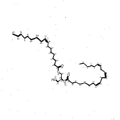 CCCCC/C=C\C/C=C\C/C=C\CCCCCCC(=O)O[C@@H](CO)COC(=O)CCCCCCC/C=C\CCCCCCCC